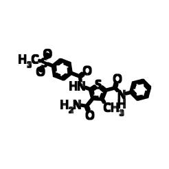 Cc1c(C(=O)Nc2ccccc2)sc(NC(=O)c2ccc(S(C)(=O)=O)cc2)c1C(N)=O